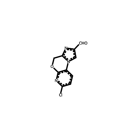 O=Cc1cn2c(n1)COc1nc(Cl)ccc1-2